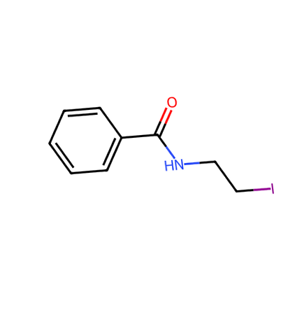 O=C(NCCI)c1ccccc1